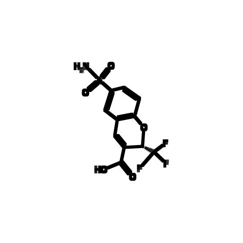 NS(=O)(=O)c1ccc2c(c1)C=C(C(=O)O)[C@@H](C(F)(F)F)O2